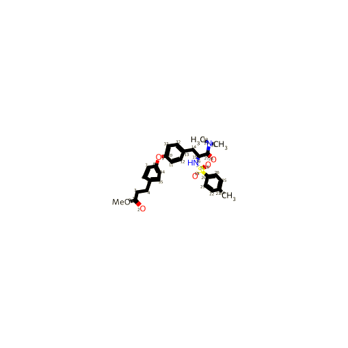 COC(=O)CCc1ccc(Oc2ccc(CC(NS(=O)(=O)c3ccc(C)cc3)C(=O)N(C)C)cc2)cc1